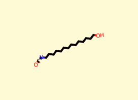 O=C=NCCCCCCCCCCCCCCO